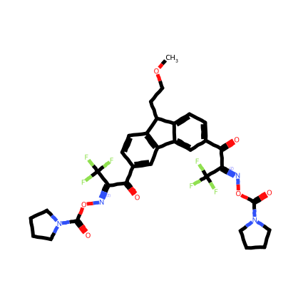 COCCC1c2ccc(C(=O)/C(=N/OC(=O)N3CCCC3)C(F)(F)F)cc2-c2cc(C(=O)/C(=N/OC(=O)N3CCCC3)C(F)(F)F)ccc21